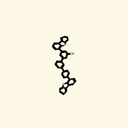 N#Cc1cc(-c2cccc(-c3ccc(-c4cccc5c4oc4ccccc45)cc3)c2)cc(-c2cccc3c2oc2ccccc23)c1